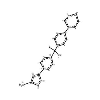 CC(C)C(C)(c1ccc(-c2cccnc2)cc1)c1ccc(-c2nnc(N)o2)cc1